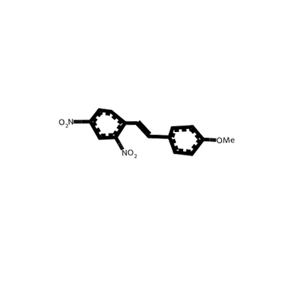 COc1ccc(C=Cc2ccc([N+](=O)[O-])cc2[N+](=O)[O-])cc1